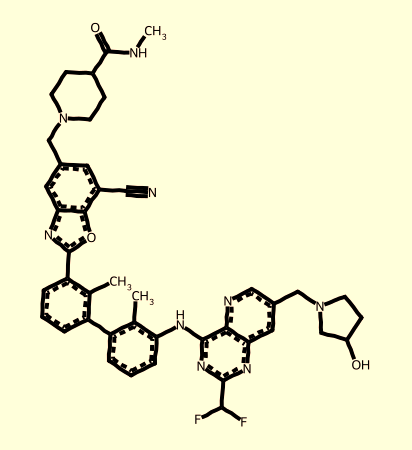 CNC(=O)C1CCN(Cc2cc(C#N)c3oc(-c4cccc(-c5cccc(Nc6nc(C(F)F)nc7cc(CN8CCC(O)C8)cnc67)c5C)c4C)nc3c2)CC1